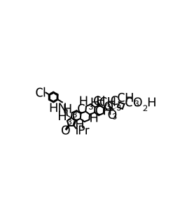 CC(C)C1=C2[C@H]3CC[C@@H]4[C@@]5(C)CC[C@H](OC(=O)[C@H]6C[C@@H](C(=O)O)C6(C)C)C(C)(C)[C@@H]5CC[C@@]4(C)[C@]3(C)CC[C@@]2(CCNCc2ccc(Cl)cc2)CC1=O